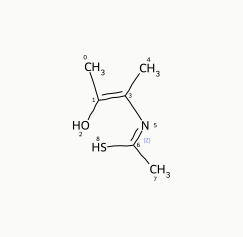 CC(O)=C(C)/N=C(/C)S